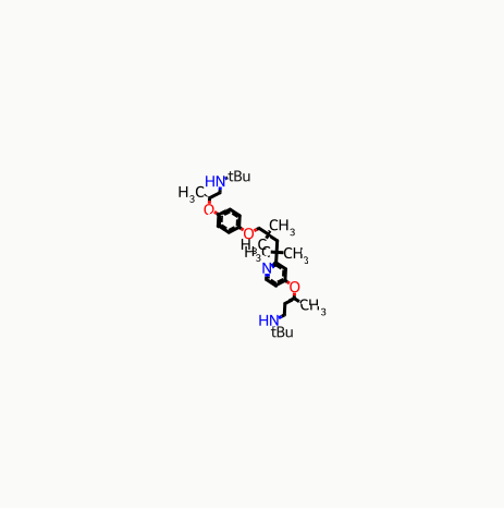 CC(CCNC(C)(C)C)Oc1ccnc(C(C)(C)CC(C)(C)COc2ccc(O[C@H](C)CNC(C)(C)C)cc2)c1